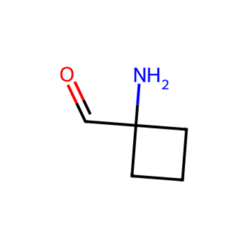 NC1(C=O)CCC1